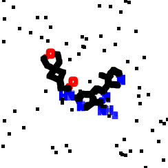 Cc1ccncc1-c1cc2cc(NC(=O)C=C3CC4(CCOCC4)C3)ncc2c(N)n1